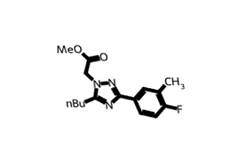 CCCCc1nc(-c2ccc(F)c(C)c2)nn1CC(=O)OC